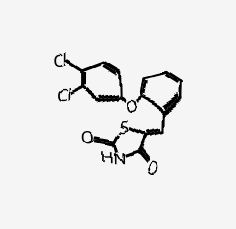 O=C1NC(=O)C(=Cc2ccccc2Oc2ccc(Cl)c(Cl)c2)S1